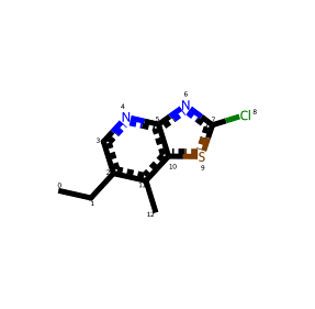 CCc1cnc2nc(Cl)sc2c1C